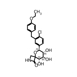 CCOc1ccc(Cc2cc([C@@H]3OC4(CNC4=O)[C@@H](O)[C@H](O)[C@H]3O)ccc2Cl)cc1